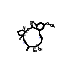 COc1cc(O)c2c(c1)/C=C/C[C@H](O)[C@H](O)C(=O)/C=C\[C@@H]1CCC[C@H]1OC2=O